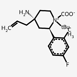 C=CC[C@@]1(N)CC[N+](C(=O)[O-])(C(C)(C)C)[C@@H](c2ccc(F)cc2C)C1